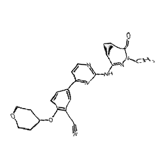 Cn1nc(Nc2nccc(-c3ccc(OC4CCOCC4)c(C#N)c3)n2)ccc1=O